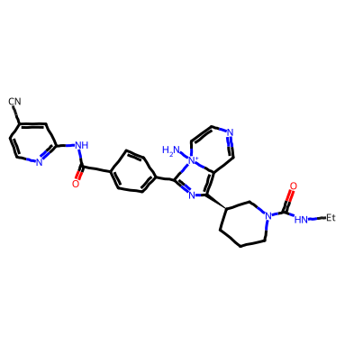 CCNC(=O)N1CCC[C@@H](C2=C3C=NC=C[N+]3(N)C(c3ccc(C(=O)Nc4cc(C#N)ccn4)cc3)=N2)C1